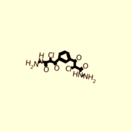 NNC(=O)C(Cl)C(=O)c1cccc(C(=O)C(Cl)C(=O)NN)c1